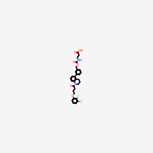 O=C(O)CCNC(=O)OCc1cccc(-c2cccc3c2CCCN3C(=O)CCCOc2cccc(Cl)c2F)c1